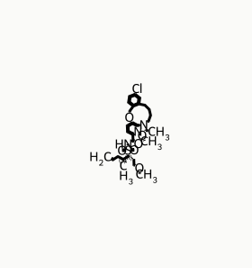 C=CC[C@H](C)[C@@H](CCOC)S(=O)(=O)NC(=O)c1ccc2c(n1)N(C(C)OC)CCCCc1cc(Cl)ccc1CO2